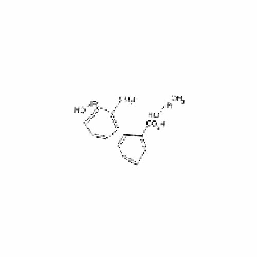 CC(C)O.CC(C)O.O.O=C(O)c1ccccc1.O=C(O)c1ccccc1